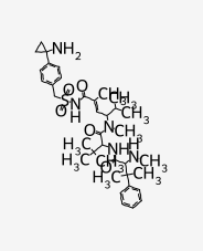 CNC(C(=O)NC(C(=O)N(C)C(C=C(C)C(=O)NS(=O)(=O)Cc1ccc(C2(N)CC2)cc1)C(C)C)C(C)(C)C)C(C)(C)c1ccccc1